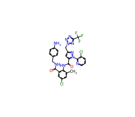 Cc1cc(Cl)cc(C(=O)NCc2ccc(N)cc2)c1NC(=O)c1cc(Cn2nnc(C(F)(F)F)n2)nn1-c1ncccc1Cl